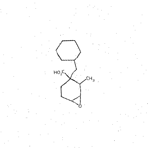 CC1C2OC2CCC1(CC1CCCCC1)C(=O)O